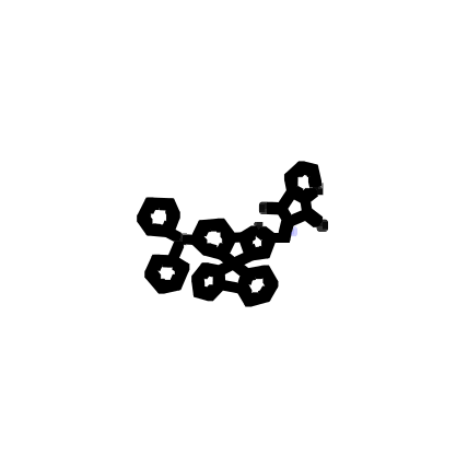 O=C1/C(=C\c2cc3c(s2)-c2ccc(N(c4ccccc4)c4ccccc4)cc2C32c3ccccc3-c3ccccc32)C(=O)c2ncccc21